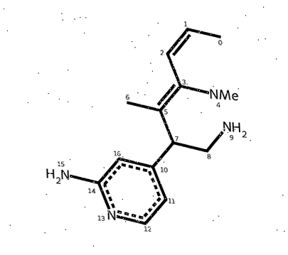 C/C=C\C(NC)=C(/C)C(CN)c1ccnc(N)c1